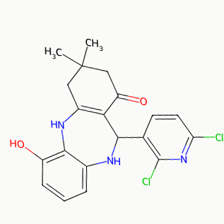 CC1(C)CC(=O)C2=C(C1)Nc1c(O)cccc1NC2c1ccc(Cl)nc1Cl